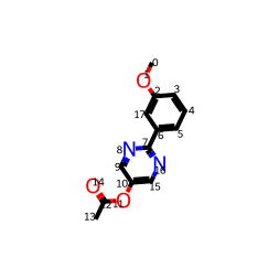 COc1cccc(-c2ncc(OC(C)=O)cn2)c1